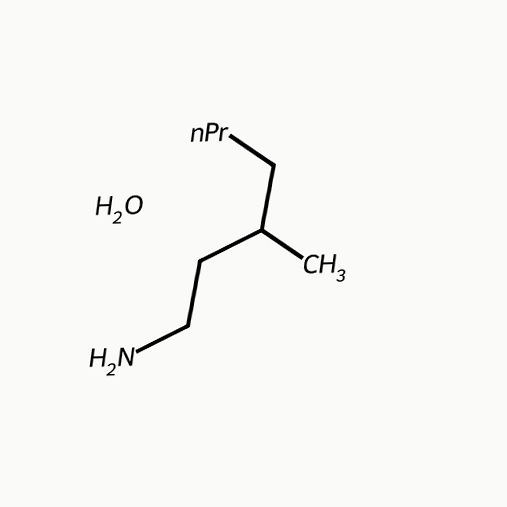 CCCCC(C)CCN.O